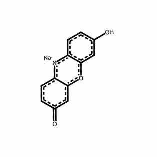 O=c1ccc2nc3ccc(O)cc3oc-2c1.[Na]